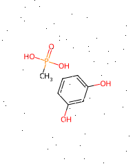 CP(=O)(O)O.Oc1cccc(O)c1